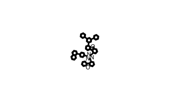 c1ccc(-c2cc(-c3ccccc3)cc(-c3cccc4c3oc3cccc(-c5nc(-c6ccc(-c7cccc8ccccc78)cc6)nc(-c6cccc7oc8ccccc8c67)n5)c34)c2)cc1